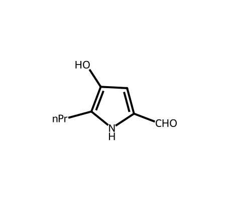 CCCc1[nH]c(C=O)cc1O